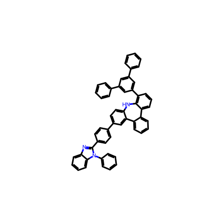 c1ccc(-c2cc(-c3ccccc3)cc(-c3cccc4c3Nc3ccc(-c5ccc(-c6nc7ccccc7n6-c6ccccc6)cc5)cc3-c3ccccc3-4)c2)cc1